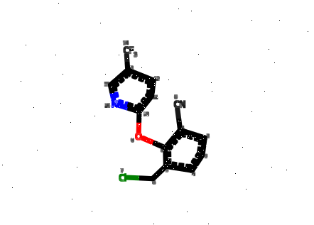 N#Cc1cccc(CCl)c1Oc1ccc(C(F)(F)F)cn1